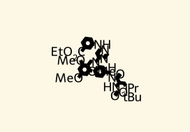 CCOC(=O)c1cccc(Nc2cc(N(Cc3c(OC)cc(OC)cc3OC)c3cccc(CNC(=O)C(CC(C)C)NC(=O)OC(C)(C)C)c3)ncn2)c1